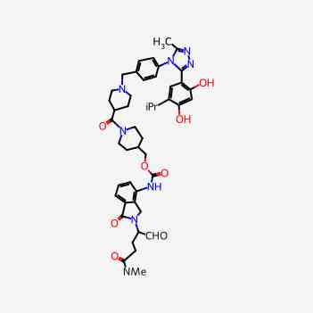 CNC(=O)CCC(C=O)N1Cc2c(NC(=O)OCC3CCN(C(=O)C4CCN(Cc5ccc(-n6c(C)nnc6-c6cc(C(C)C)c(O)cc6O)cc5)CC4)CC3)cccc2C1=O